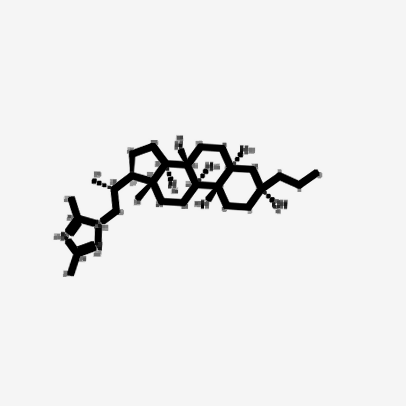 CCC[C@@]1(O)CC[C@H]2[C@@H](CC[C@@H]3[C@@H]2CC[C@]2(C)[C@@H]([C@@H](C)Cn4nc(C)nc4C)CC[C@@H]32)C1